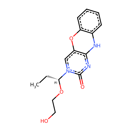 CC[C@@H](OCCO)n1cc2c(nc1=O)Nc1ccccc1O2